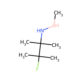 CBNC(C)(C)C(C)(C)F